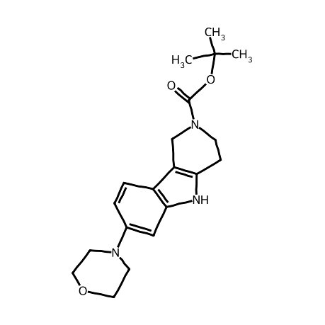 CC(C)(C)OC(=O)N1CCc2[nH]c3cc(N4CCOCC4)ccc3c2C1